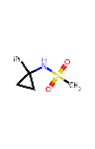 CC(C)C1(NS(C)(=O)=O)CC1